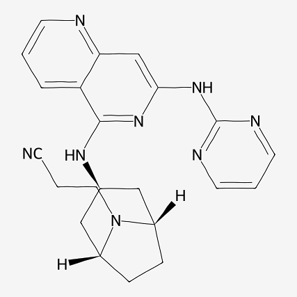 N#CCCN1[C@@H]2CC[C@H]1C[C@H](Nc1nc(Nc3ncccn3)cc3ncccc13)C2